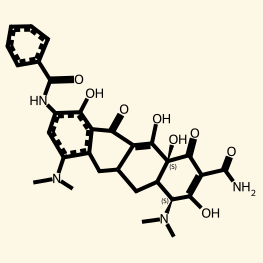 CN(C)c1cc(NC(=O)c2ccccc2)c(O)c2c1CC1CC3[C@H](N(C)C)C(O)=C(C(N)=O)C(=O)[C@@]3(O)C(O)=C1C2=O